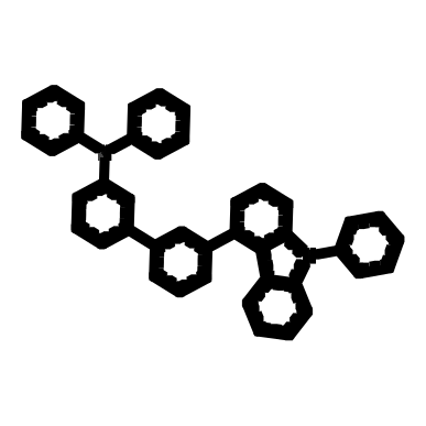 c1ccc(N(c2ccccc2)c2cccc(-c3cccc(-c4cccc5c4c4ccccc4n5-c4ccccc4)c3)c2)cc1